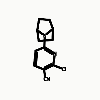 N#Cc1ccc(N2C3CCC2CC3)nc1Cl